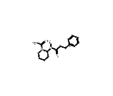 N=C(N)N1CCCCC1N(O)C(=O)CCc1ccccc1